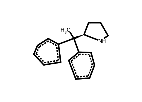 CC(c1ccccc1)(c1ccccc1)[C@H]1CCCN1